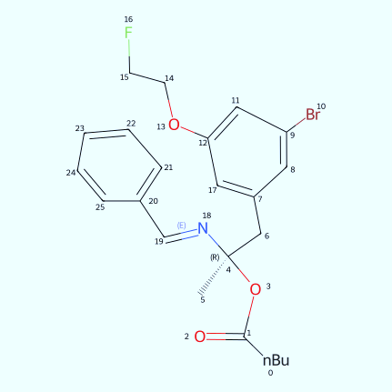 CCCCC(=O)O[C@](C)(Cc1cc(Br)cc(OCCF)c1)/N=C/c1ccccc1